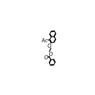 CC(=O)c1c(OCCOC(=O)c2ccccc2)ccc2ccccc12